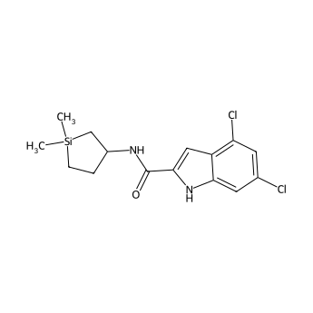 C[Si]1(C)CCC(NC(=O)c2cc3c(Cl)cc(Cl)cc3[nH]2)C1